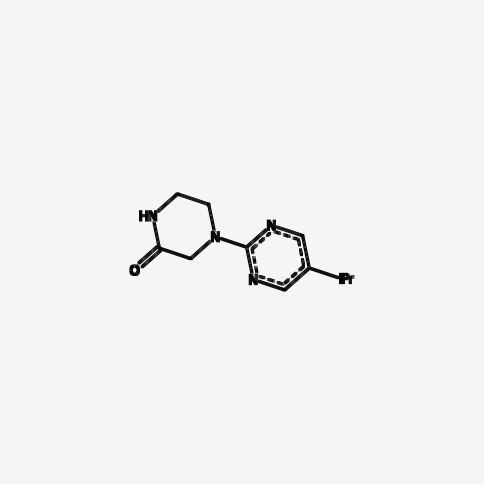 CC(C)c1cnc(N2CCNC(=O)C2)nc1